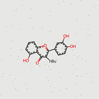 CCCCc1c(-c2ccc(O)c(O)c2)oc2cccc(O)c2c1=O